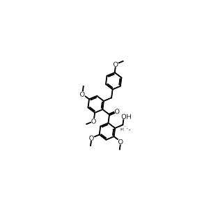 COc1ccc(Cc2cc(OC)cc(OC)c2C(=O)c2cc(OC)cc(OC)c2[C@@H](C)O)cc1